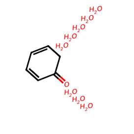 O.O.O.O.O.O.O.O.O=C1C=CC=CC1